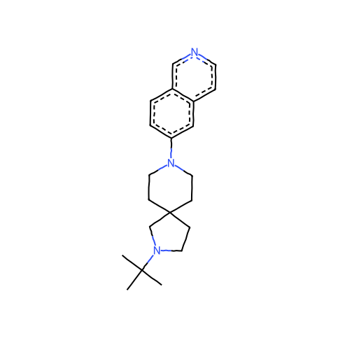 CC(C)(C)N1CCC2(CCN(c3ccc4cnccc4c3)CC2)C1